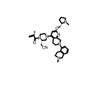 C=C(F)C(=O)N1CCN(c2cc(OC[C@@H]3CCCN3C)nc3c2CCN(c2cccc4c2CCN(C)C4)C3)C[C@@H]1CC#N